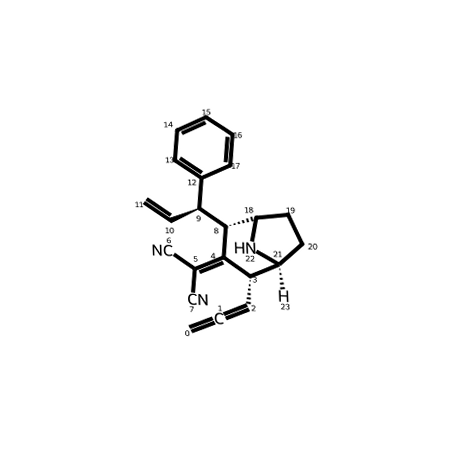 C=C=C[C@@H]1C(=C(C#N)C#N)[C@H]([C@@H](C=C)c2ccccc2)C2CC[C@@H]1N2